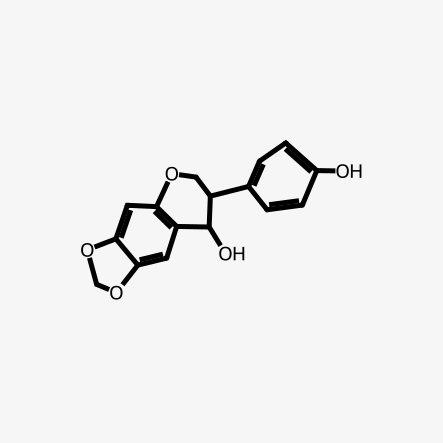 Oc1ccc(C2COc3cc4c(cc3C2O)OCO4)cc1